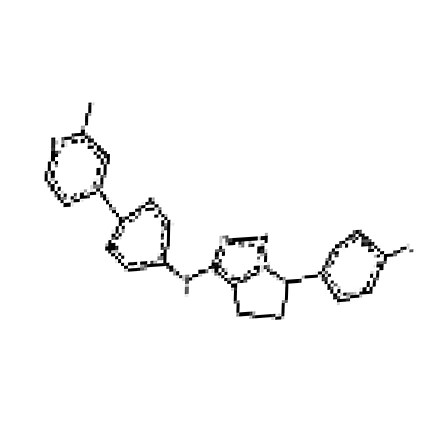 Cc1cc(-c2ccc(Nc3nnn4c3CCC4c3ccc(Cl)cc3)cc2)ccn1